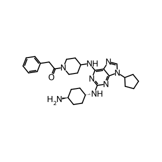 N[C@H]1CC[C@H](Nc2nc(NC3CCN(C(=O)Cc4ccccc4)CC3)c3ncn(C4CCCC4)c3n2)CC1